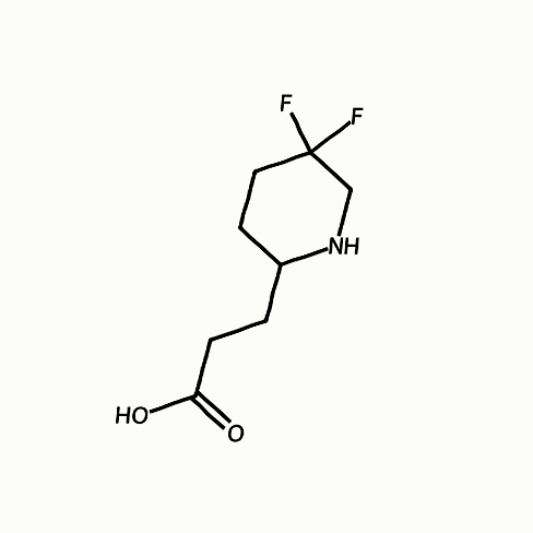 O=C(O)CCC1CCC(F)(F)CN1